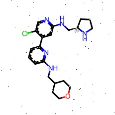 Clc1cnc(NC[C@H]2CCCN2)cc1-c1cccc(NCC2CCOCC2)n1